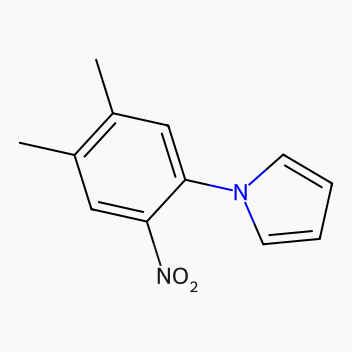 Cc1cc(-n2cccc2)c([N+](=O)[O-])cc1C